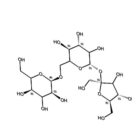 OCC1O[C@@H](OCC2O[C@@H](O[C@]3(CO)O[C@H](CO)[C@@H](O)C3O)C(O)[C@@H](O)[C@@H]2O)[C@@H](O)C(O)[C@H]1O